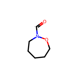 O=[C]N1CCCCCO1